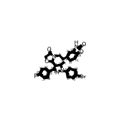 CC1C(C2OCC(=O)N2CCc2ccc3oc(=O)[nH]c3c2)C(c2ccc(F)cc2)=NN1c1ccc(Br)cc1